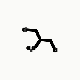 [SiH2]C(CCl)CCl